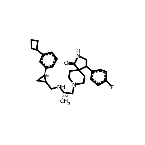 C[C@@H](CN1CCC2(CC1)C(=O)NCC2c1ccc(F)cc1)NCC1C[C@H]1c1cccc(C2CCC2)c1